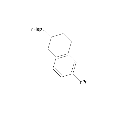 CCCCCCCC1CCc2cc(CCC)ccc2C1